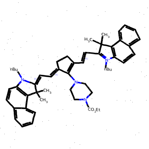 CCCCN1/C(=C/C=C2\CCC(/C=C/C3=[N+](CCCC)c4ccc5ccccc5c4C3(C)C)=C2N2CCN(C(=O)OCC)CC2)C(C)(C)c2c1ccc1ccccc21